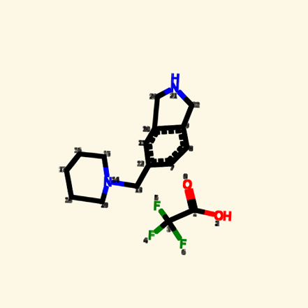 O=C(O)C(F)(F)F.c1cc2c(cc1CN1CCCCC1)CNC2